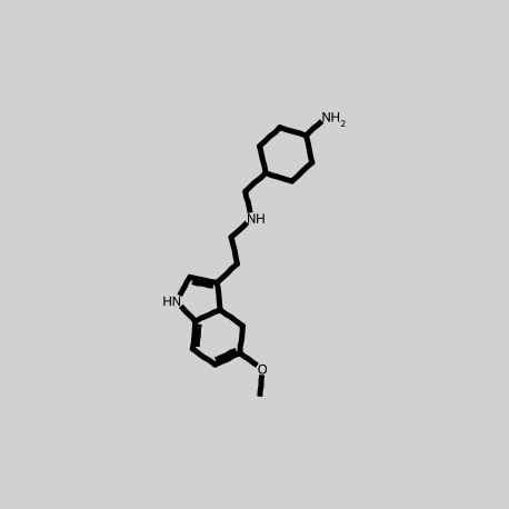 COC1=CC=C2NC=C(CCNCC3CCC(N)CC3)C2C1